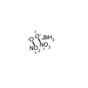 O=[N+]([O-])[O-].O=[N+]([O-])[O-].[BiH3]